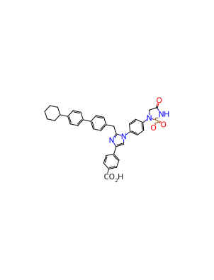 O=C1CN(c2ccc(-n3cc(-c4ccc(C(=O)O)cc4)nc3Cc3ccc(-c4ccc(C5CCCCC5)cc4)cc3)cc2)S(=O)(=O)N1